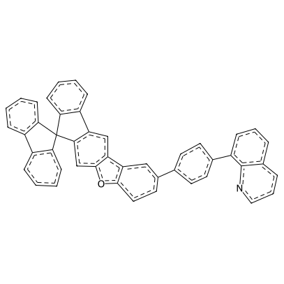 c1ccc2c(c1)-c1ccccc1C21c2ccccc2-c2cc3c(cc21)oc1ccc(-c2ccc(-c4cccc5cccnc45)cc2)cc13